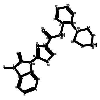 C=C1N(C)c2ccccc2N1c1nc(C(=O)Nc2cnccc2N2CCNCC2)cs1